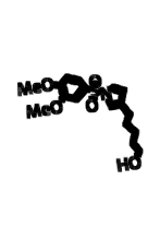 COc1ccc(S(=O)(=O)n2ccc(CCCCCO)c2)cc1OC